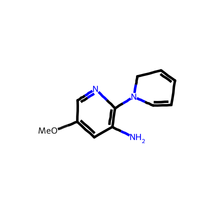 COc1cnc(N2C=CC=CC2)c(N)c1